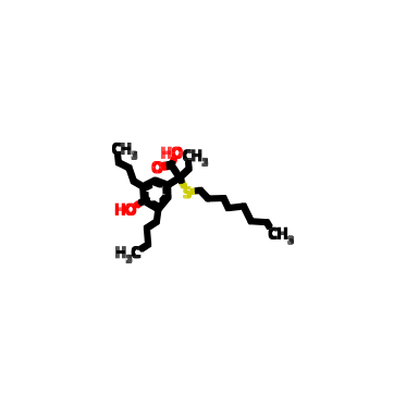 CCCCCCCCSC(CC)(C(=O)O)c1cc(CCCC)c(O)c(CCCC)c1